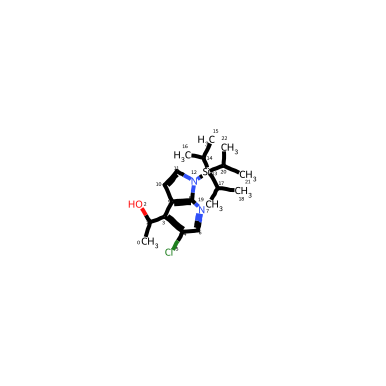 CC(O)c1c(Cl)cnc2c1ccn2[Si](C(C)C)(C(C)C)C(C)C